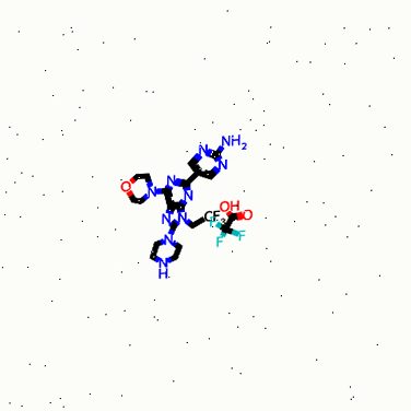 Nc1ncc(-c2nc(N3CCOCC3)c3nc(N4CCNCC4)n(CC(F)(F)F)c3n2)cn1.O=C(O)C(F)(F)F